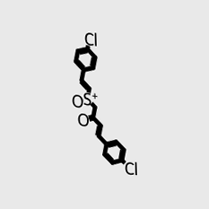 O=C(/C=C/c1ccc(Cl)cc1)C[S+]([O-])/C=C/c1ccc(Cl)cc1